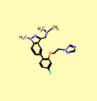 CN(C)Cc1nn(C)c2ccc(-c3ccc(F)cc3OCCn3cncn3)cc12